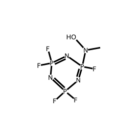 CN(O)P1(F)=NP(F)(F)=NP(F)(F)=N1